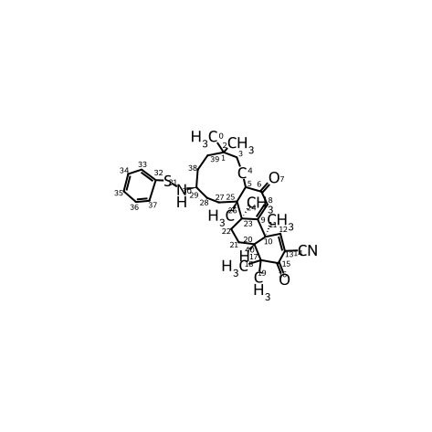 CC1(C)CCC2C(=O)C=C3[C@@]4(C)C=C(C#N)C(=O)C(C)(C)[C@@H]4CC[C@@]3(C)[C@]2(C)CC[C@@H](NSc2ccccc2)CC1